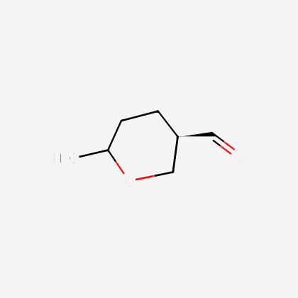 CC1CC[C@@H](C=O)CO1